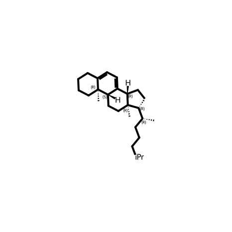 CC(C)CCC[C@@H](C)[C@H]1CC[C@H]2C3=CC=C4CCCC[C@]4(C)[C@H]3CC[C@]12C